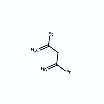 C=C(CC)CC(=N)C(C)C